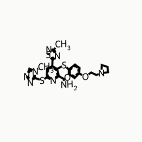 Cc1nsc(-c2cc(Sc3nncn3C)nc(C(N)=O)c2Sc2ccc(OCCN3CCC3)cc2)n1